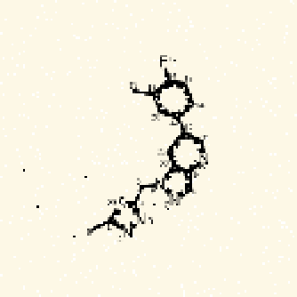 Cc1nnc(Cn2ncc3ncc(-c4ccc(F)c(C)c4)cc32)s1